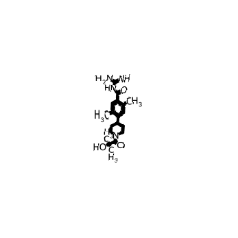 Cc1cc(C2CCN(C(=O)C(C)(C)O)CC2)c(C)cc1C(=O)NC(=N)N